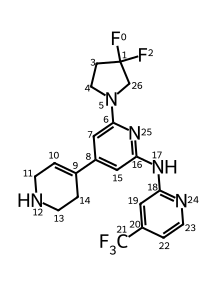 FC1(F)CCN(c2cc(C3=CCNCC3)cc(Nc3cc(C(F)(F)F)ccn3)n2)C1